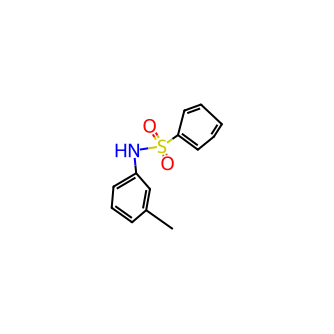 Cc1cccc(NS(=O)(=O)c2ccccc2)c1